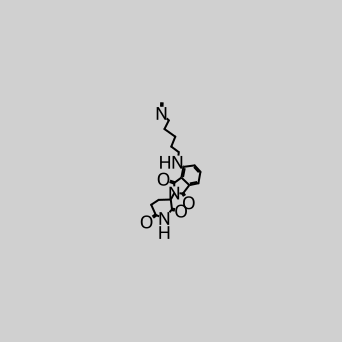 C=NCCCCCNc1cccc2c1C(=O)N(C1CCC(=O)NC1=O)C2=O